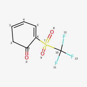 O=C1CC=CC=C1S(=O)(=O)C(F)(F)F